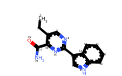 CCc1cnc(-c2c[nH]c3ccccc23)nc1C(N)=O